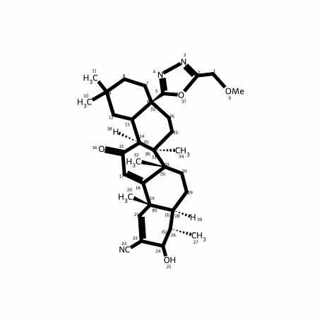 COCc1nnc([C@]23CCC(C)(C)CC2[C@@H]2C(=O)C=C4[C@@]5(C)C=C(C#N)C(O)[C@@H](C)[C@@H]5CC[C@@]4(C)[C@]2(C)CC3)o1